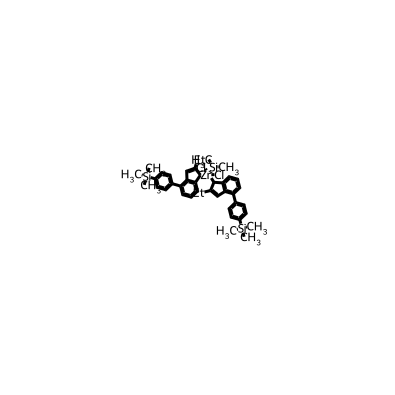 CCC1=Cc2c(-c3ccc([Si](C)(C)C)cc3)cccc2[CH]1[Zr]([Cl])([Cl])([CH]1C(CC)=Cc2c(-c3ccc([Si](C)(C)C)cc3)cccc21)=[Si](C)C